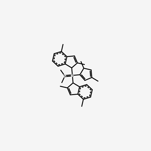 CC1=CC(C)[C]([Ti]([CH]2C(C)=Cc3c(C)cccc32)([CH]2C(C)=Cc3c(C)cccc32)=[Si](C)C)=C1